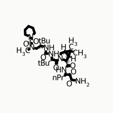 CCCC(NC(=O)[C@@H]1[C@@H]2[C@H](CN1C(=O)[C@@H](NC(=O)N[C@H](CN(C)S(=O)(=O)N1CCCCC1)C(C)(C)C)C(C)(C)C)C2(C)C)C(=O)C(N)=O